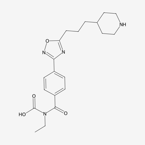 CCN(C(=O)O)C(=O)c1ccc(-c2noc(CCCC3CCNCC3)n2)cc1